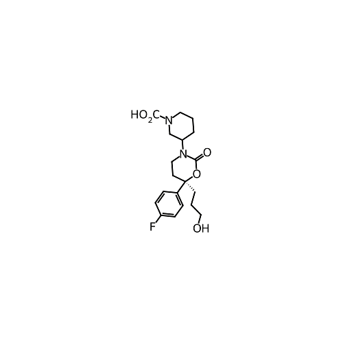 O=C(O)N1CCCC(N2CC[C@](CCCO)(c3ccc(F)cc3)OC2=O)C1